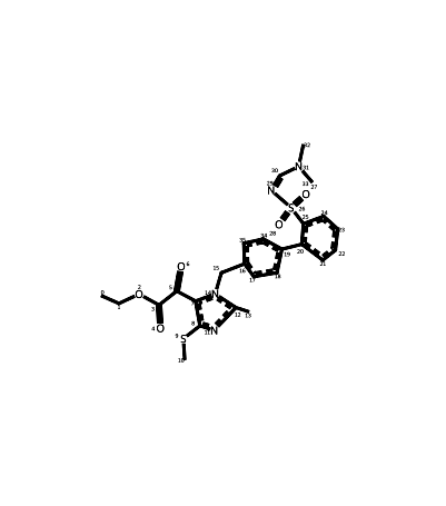 CCOC(=O)C(=O)c1c(SC)nc(C)n1Cc1ccc(-c2ccccc2S(=O)(=O)N=CN(C)C)cc1